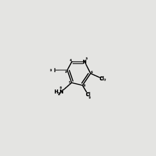 Nc1c(I)cnc(Cl)c1Cl